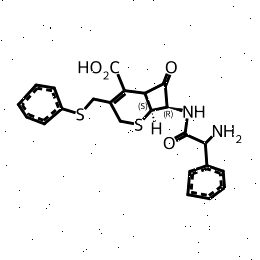 NC(C(=O)N[C@@H]1C(=O)C2C(C(=O)O)=C(CSc3ccccc3)CS[C@@H]21)c1ccccc1